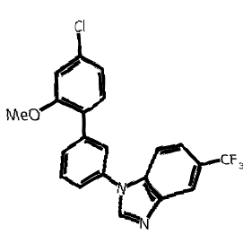 COc1cc(Cl)ccc1-c1cccc(-n2cnc3cc(C(F)(F)F)ccc32)c1